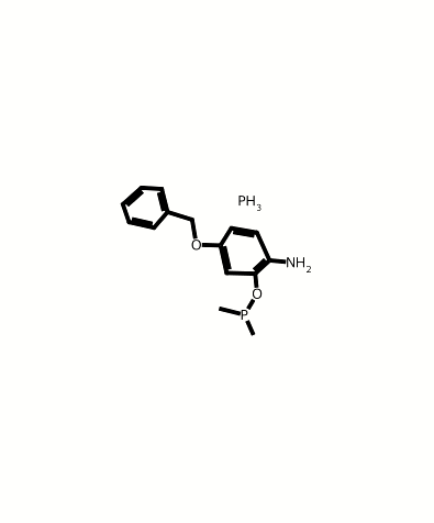 CP(C)Oc1cc(OCc2ccccc2)ccc1N.P